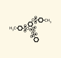 Cc1ccc(S(=O)(=O)Oc2ccc(OS(=O)(=O)c3ccc(C)cc3)c(S(=O)(=O)OOS(=O)(=O)c3ccccc3)c2)cc1